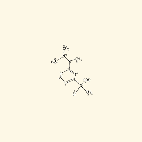 CC[N+](C)(C(=O)[O-])c1cccc(C(C)N(C)C)c1